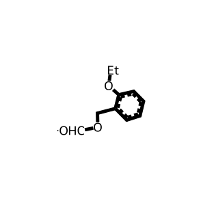 CCOc1ccccc1CO[C]=O